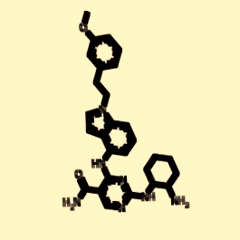 COc1cccc(CCn2ccc3c(Nc4nc(NC5CCCCC5N)ncc4C(N)=O)cccc32)c1